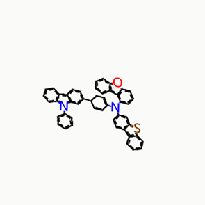 C1=CC(c2ccc3c4ccccc4n(-c4ccccc4)c3c2)CC=C1N(c1ccc2c(c1)sc1ccccc12)c1cccc2oc3ccccc3c12